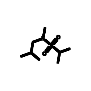 CC(C)CN(C)S(=O)(=O)C(C)C